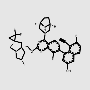 C#Cc1c(F)ccc2cc(O)cc(-c3ncc4c(N5C[C@H]6CC[C@@H](C5)N6)nc(OC[C@]56C[C@H](F)CN5C[C@@]5(CC5(F)F)C6)nc4c3F)c12